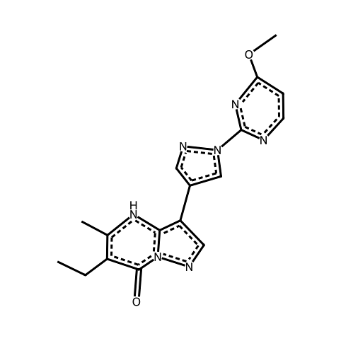 CCc1c(C)[nH]c2c(-c3cnn(-c4nccc(OC)n4)c3)cnn2c1=O